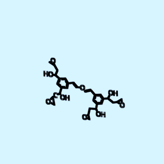 OC(CC1CO1)c1cc(C=COC=Cc2cc(C(O)CC3CO3)cc(C(O)CC3CO3)c2)cc(C(O)CC2CO2)c1